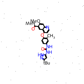 CNC(=O)c1cc2c(Oc3ccc(NC(=O)Nc4cc(C(C)(C)C)n[nH]4)cc3C)ccnc2cc1OC